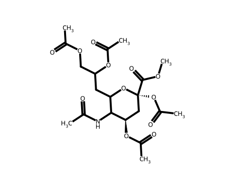 COC(=O)[C@@]1(OC(C)=O)C[C@@H](OC(C)=O)C(NC(C)=O)C(CC(COC(C)=O)OC(C)=O)O1